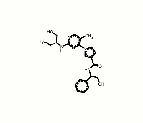 CC[C@@H](CO)Nc1ncc(C)c(-n2ccc(C(=O)NC(CO)c3ccccc3)c2)n1